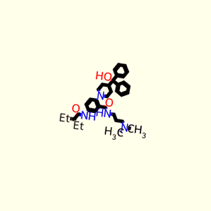 CCC(CC)C(=O)Nc1ccc(N2CCC(C(O)(c3ccccc3)c3ccccc3)CC2)c(C(=O)NCCCN(C)C)c1